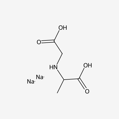 CC(NCC(=O)O)C(=O)O.[Na].[Na]